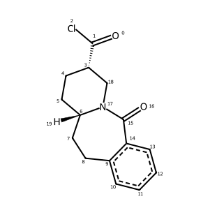 O=C(Cl)[C@H]1CC[C@H]2CCc3ccccc3C(=O)N2C1